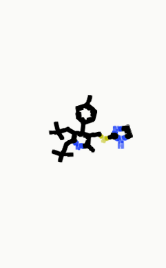 Cc1ccc(-c2c([CH]C(C)(C)C)c(CC(C)(C)C)nc(C)c2CSc2ncc[nH]2)cc1